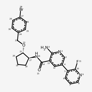 Nc1ncc(-c2cccnc2F)cc1C(=O)N[C@H]1CCC[C@@H]1OCc1ccc(Br)cc1